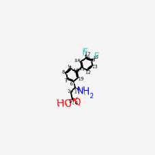 N[C@@H](CC(=O)O)c1cccc(-c2ccc(F)c(F)c2)c1